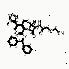 C=C(C1=C(C(=O)OC(c2ccccc2)c2ccccc2)N2C(=O)C(NC(=O)CSCC#N)[C@H]2SC1)c1nnnn1C